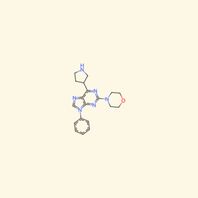 c1ccc(-n2cnc3c(C4CCNC4)nc(N4CCOCC4)nc32)cc1